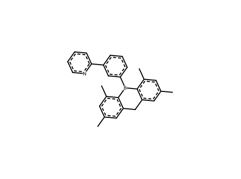 Cc1cc(C)c2c(c1)Cc1cc(C)cc(C)c1B2c1cccc(-c2ccccn2)c1